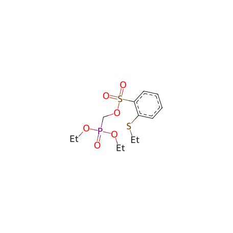 CCOP(=O)(COS(=O)(=O)c1ccccc1SCC)OCC